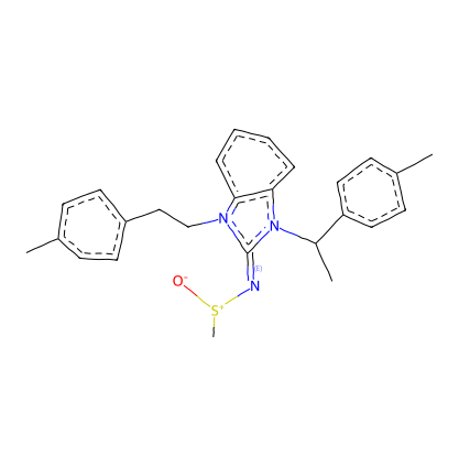 Cc1ccc(CCn2/c(=N\[S+](C)[O-])n(C(C)c3ccc(C)cc3)c3ccccc32)cc1